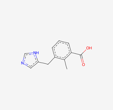 Cc1c(Cc2cnc[nH]2)cccc1C(=O)O